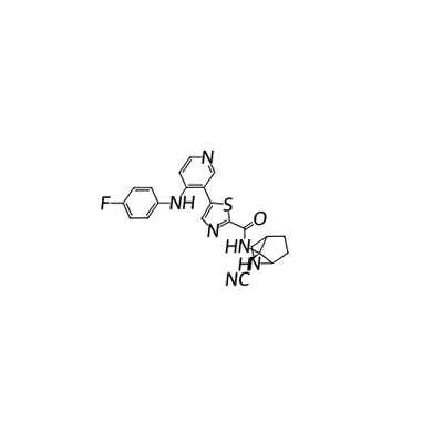 N#CN1CC2CCC1[C@@H]2NC(=O)c1ncc(-c2cnccc2Nc2ccc(F)cc2)s1